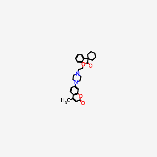 Cc1cc(=O)oc2cc(N3CCN(CCOC(=O)C4(c5ccccc5)CCCCC4)CC3)ccc12